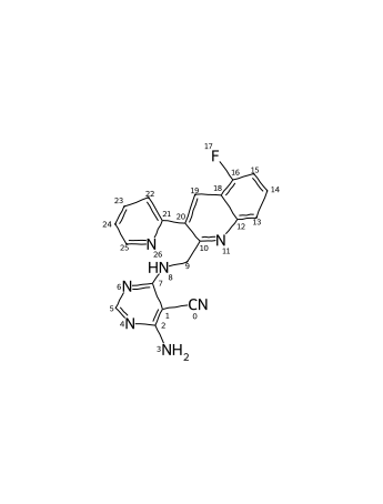 N#Cc1c(N)ncnc1NCc1nc2cccc(F)c2cc1-c1ccccn1